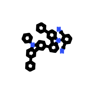 N#Cc1cccc(C#N)c1-n1c2ccc(-c3ccccc3)cc2c2c(-c3ccc4c(c3)c3cc(-c5ccccc5)ccc3n4-c3ccccc3)cccc21